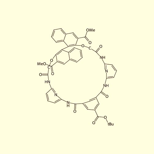 COC(=O)c1cc2ccccc2c2c1OCC(=O)Nc1cccc(n1)NC(=O)c1cc(cc(C(=O)OC(C)(C)C)c1)C(=O)Nc1cccc(n1)NC(=O)COc1c(C(=O)OC)cc3ccccc3c1-2